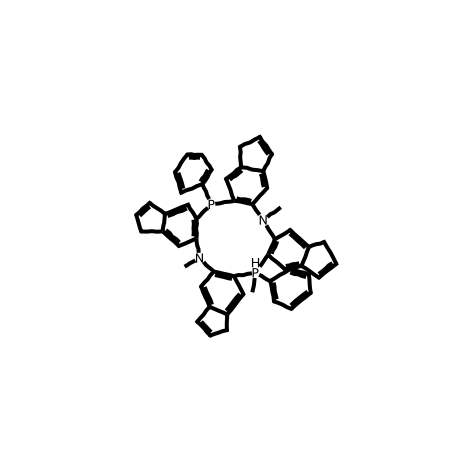 CN1c2cc3c(cc2P(c2ccccc2)c2cc4c(cc2N(C)c2cc5c(cc2[PH](C)(c2ccccc2)c2cc6c(cc21)CC=C6)CC=C5)CC=C4)CC=C3